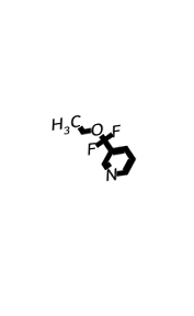 CCOC(F)(F)c1cccnc1